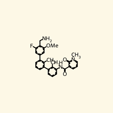 COc1cc(-c2cccc(-c3cccc(NC(=O)c4cccn(C)c4=O)c3C)c2C)cc(F)c1CN